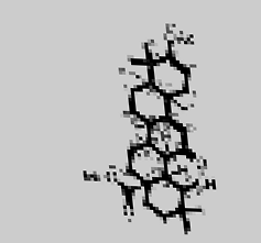 COC(=O)[C@]12CCC(C)(C)C(C#N)[C@H]1[C@H]1C(=O)C=C3[C@@]4(C)CC=C(OC(C)=O)C(C)(C)[C@@H]4CC[C@@]3(C)[C@]1(C)CC2